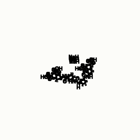 O=C(Nc1cccc(C(=O)Nc2ccc3cc(S(=O)(=O)O)cc(S(=O)(=O)O)c3c2)c1)Nc1cccc(C(=O)Nc2ccc3cc(S(=O)(=O)O)cc(S(=O)(=O)O)c3c2)c1.[NaH].[NaH].[NaH].[NaH]